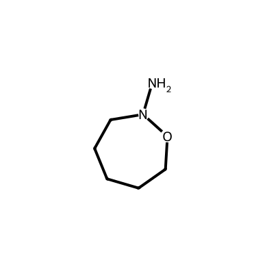 NN1CCCCCO1